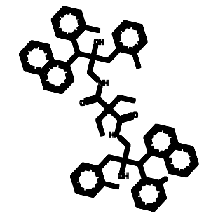 CCC(CC)(C(=O)NCC(O)(Cc1ccccc1C)C(c1ccccc1C)c1cccc2ccccc12)C(=O)NCC(O)(Cc1ccccc1C)C(c1ccccc1C)c1cccc2ccccc12